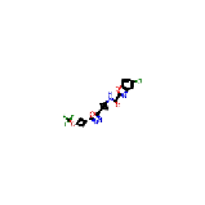 O=C(NC12CC(c3nnc([C@H]4C[C@@H](OC(F)(F)F)C4)o3)(C1)C2)c1nc2cc(Cl)ccc2o1